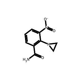 NC(=O)c1cccc([N+](=O)[O-])c1N1CC1